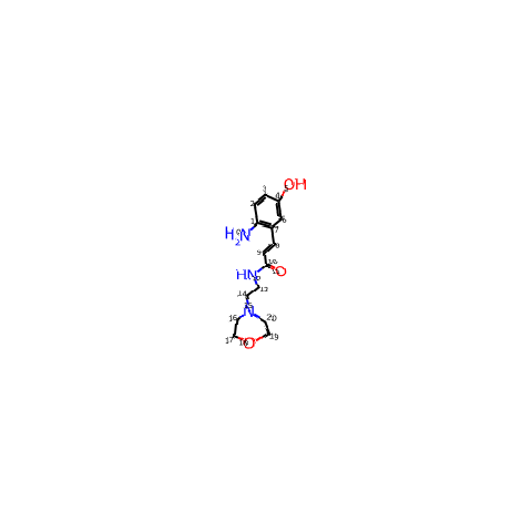 Nc1ccc(O)cc1C=CC(=O)NCCN1CCOCC1